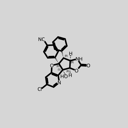 N#Cc1ccc([C@@]23Oc4cc(Cl)cnc4[C@]2(O)[C@@H]2OC(=O)N[C@@H]2[C@H]3c2ccccc2)cc1